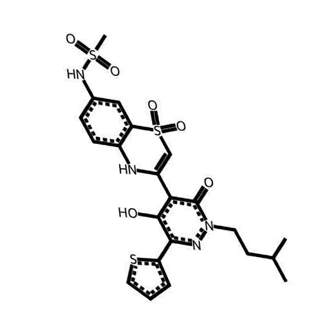 CC(C)CCn1nc(-c2cccs2)c(O)c(C2=CS(=O)(=O)c3cc(NS(C)(=O)=O)ccc3N2)c1=O